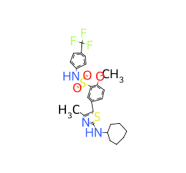 COc1ccc(-c2sc(NC3CCCCCC3)nc2C)cc1S(=O)(=O)Nc1ccc(C(F)(F)F)cc1